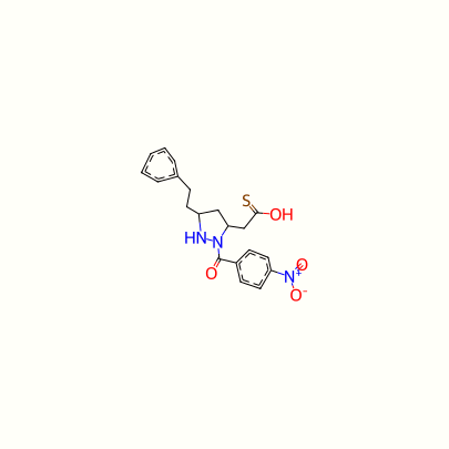 O=C(c1ccc([N+](=O)[O-])cc1)N1NC(CCc2ccccc2)CC1CC(O)=S